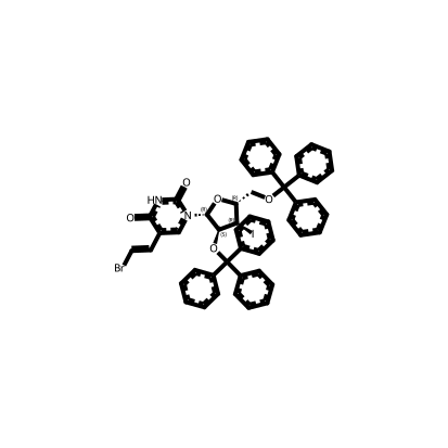 O=c1[nH]c(=O)n([C@@H]2O[C@H](COC(c3ccccc3)(c3ccccc3)c3ccccc3)[C@@H](I)[C@H]2OC(c2ccccc2)(c2ccccc2)c2ccccc2)cc1C=CBr